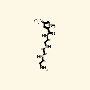 Cn1cc([N+](=O)[O-])cc1C(=O)NCCNCCNCCN